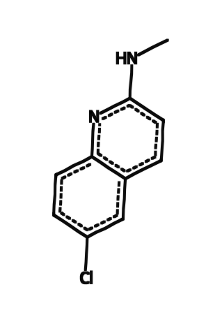 CNc1ccc2cc(Cl)ccc2n1